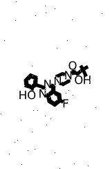 CC(C)(C)C(O)C(=O)N1CCN(c2nc(-c3ccccc3O)nc3ccc(F)cc23)CC1